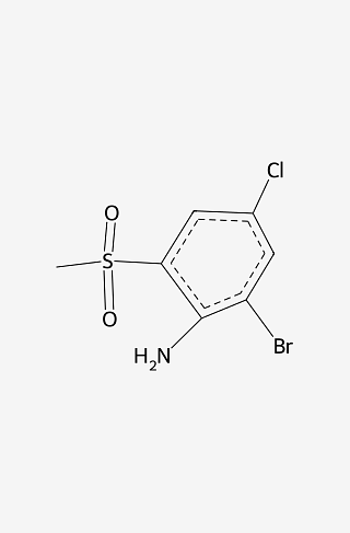 CS(=O)(=O)c1cc(Cl)cc(Br)c1N